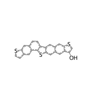 Oc1csc2cc3cc4c(cc3cc12)sc1c2cc3ccsc3cc2ccc41